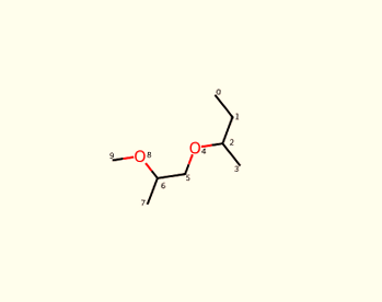 CCC(C)OCC(C)OC